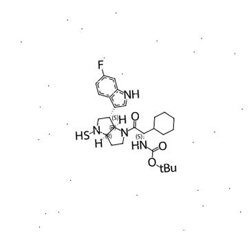 CC(C)(C)OC(=O)N[C@H](C(=O)N1CC[C@@H]2[C@H]1[C@@H](c1c[nH]c3cc(F)ccc13)CN2S)C1CCCCC1